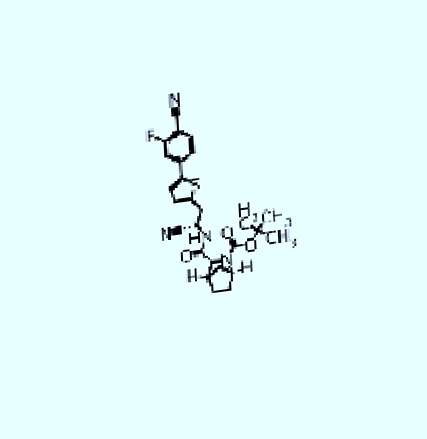 CC(C)(C)OC(=O)N1[C@@H]2CC[C@@H](C2)[C@H]1C(=O)N[C@H](C#N)Cc1ccc(-c2ccc(C#N)c(F)c2)s1